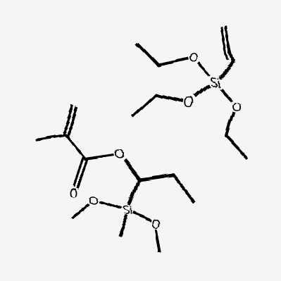 C=C(C)C(=O)OC(CC)[Si](C)(OC)OC.C=C[Si](OCC)(OCC)OCC